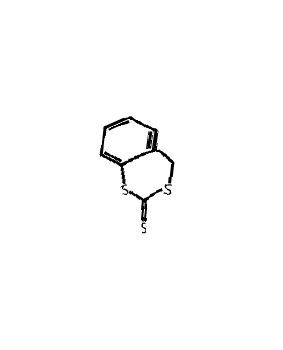 S=C1SCc2ccccc2S1